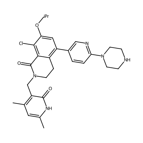 Cc1cc(C)c(CN2CCc3c(-c4ccc(N5CCNCC5)nc4)cc(OC(C)C)c(Cl)c3C2=O)c(=O)[nH]1